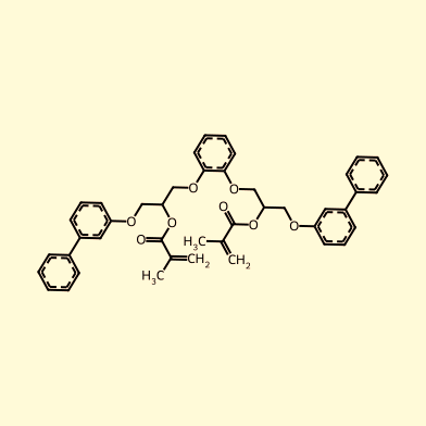 C=C(C)C(=O)OC(COc1cccc(-c2ccccc2)c1)COc1ccccc1OCC(COc1cccc(-c2ccccc2)c1)OC(=O)C(=C)C